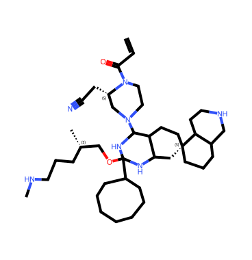 C=CC(=O)N1CCN(C2NC(OC[C@@H](C)CCCNC)(C3CCCCCCC3)NC3C[C@]4(CCCC5CNCCC54)CCC32)C[C@@H]1CC#N